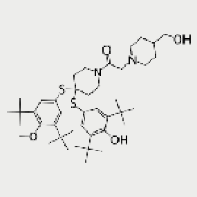 COc1c(C(C)(C)C)cc(SC2(Sc3cc(C(C)(C)C)c(O)c(C(C)(C)C)c3)CCN(C(=O)CN3CCC(CO)CC3)CC2)cc1C(C)(C)C